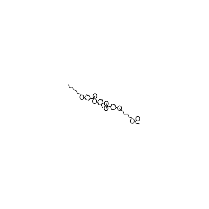 C=CC(=O)OCCCCCCOc1ccc(C(=O)Oc2ccc(OC(=O)c3ccc(OCCCCCCC)cc3)cc2C)cc1